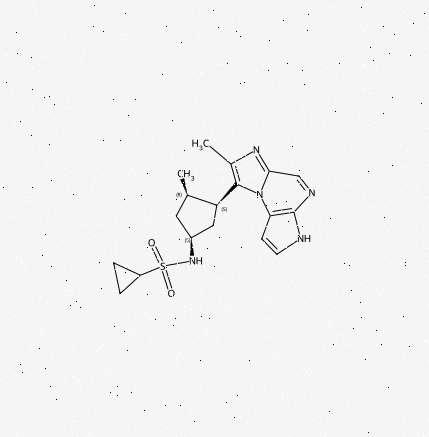 Cc1nc2cnc3[nH]ccc3n2c1[C@H]1C[C@@H](NS(=O)(=O)C2CC2)C[C@H]1C